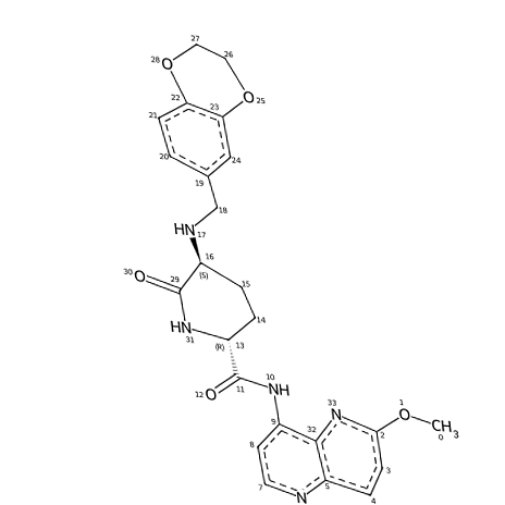 COc1ccc2nccc(NC(=O)[C@H]3CC[C@H](NCc4ccc5c(c4)OCCO5)C(=O)N3)c2n1